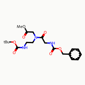 COC(=O)CN(CCNC(=O)OC(C)(C)C)C(=O)CNC(=O)OCc1ccccc1